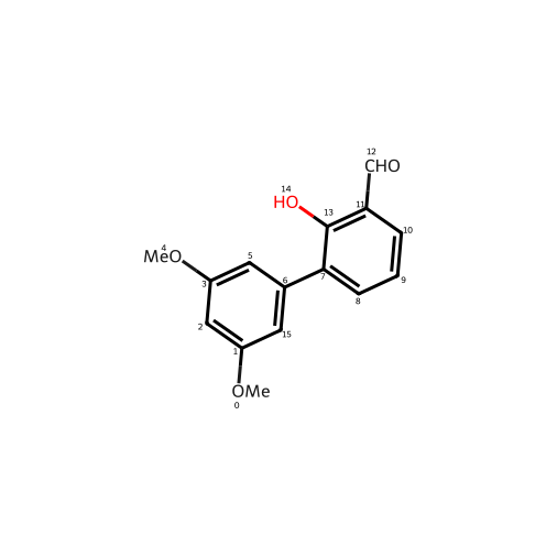 COc1cc(OC)cc(-c2cccc(C=O)c2O)c1